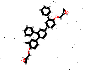 Cc1cc(-c2ccc(-c3ccc(OCC4CO4)c(-c4ccccc4)c3)cc2-c2ccccc2)ccc1OCC1CO1